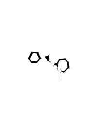 c1ccc([C@@H]2C[C@H]2N=C2CCCCCN2)cc1